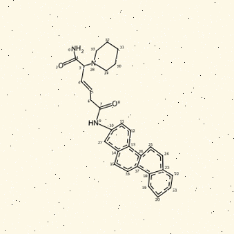 NC(=O)C(C=CCC(=O)Nc1ccc2c(ccc3c4ccccc4ccc23)c1)N1CCCCC1